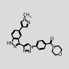 Cn1cc(-c2ccc3[nH]nc(-c4cn(-c5ccc(C(=O)N6CCOCC6)cc5)nn4)c3c2)cn1